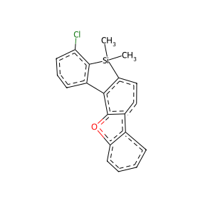 C[Si]1(C)c2ccc3c(oc4ccccc43)c2-c2cccc(Cl)c21